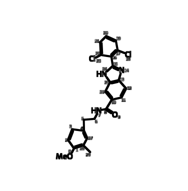 COc1ccc(CCNC(=O)c2ccc3nc(-c4c(Cl)cccc4Cl)[nH]c3c2)cc1C